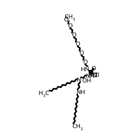 CCCCCCCCCCCCCCNCCCCN(CCCCCCCCCCCCCC)CC(O)CNc1c(NCCOCCCOCCCOCCCOCCCOCCOC)c(=O)c1=O.Cl.Cl